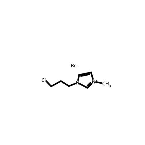 C[n+]1ccn(CCCCl)c1.[Br-]